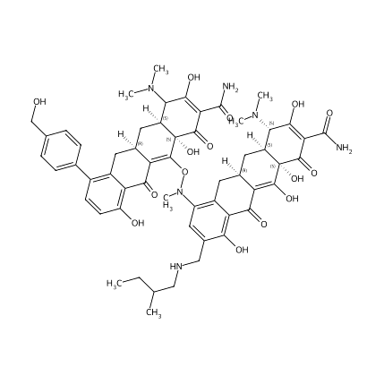 CCC(C)CNCc1cc(N(C)OC2=C3C(=O)c4c(O)ccc(-c5ccc(CO)cc5)c4C[C@H]3C[C@H]3C(N(C)C)C(O)=C(C(N)=O)C(=O)[C@@]23O)c2c(c1O)C(=O)C1=C(O)[C@]3(O)C(=O)C(C(N)=O)=C(O)[C@@H](N(C)C)[C@@H]3C[C@@H]1C2